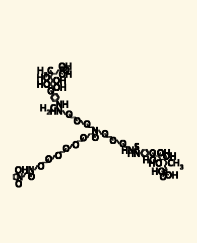 C=C(NCCOCCOCCOCCN(CCOCCOCCOCCNC(=S)Nc1ccc(OC(O)C(O)C(O)C(O)C(C)CCP(=O)(O)O)cc1)C(=O)CCOCCOCCOCCOCCOCCOCCNC(=O)CCN1C(=O)C=CC1=O)Nc1ccc(OC(O)C(O)C(O)C(O)C(C)CCP(=O)(O)O)cc1